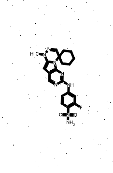 CN1N=CC2(CCCCC2)n2c1cc1cnc(Nc3ccc(S(N)(=O)=O)c(F)c3)nc12